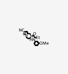 CCC(Nc1cccc(OC)c1)C(=O)N1CCCn2nc(C#N)cc2C1